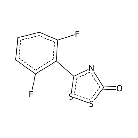 O=c1nc(-c2c(F)cccc2F)ss1